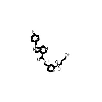 O=C(NCc1ccnc(S(=O)(=O)CCCO)c1)c1cncc2c1cnn2-c1ccc(F)cc1